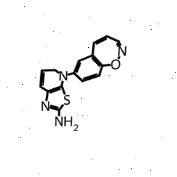 Nc1nc2c(s1)N(c1ccc3c(c1)C=CC=NO3)CC=C2